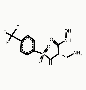 NC[C@H](NS(=O)(=O)c1ccc(C(F)(F)F)cc1)C(=O)NO